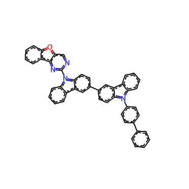 c1ccc(-c2ccc(-n3c4ccccc4c4cc(-c5ccc6c(c5)c5ccccc5n6-c5ncc6oc7ccccc7c6n5)ccc43)cc2)cc1